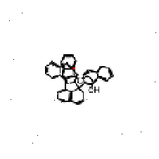 OCCOc1ccc2ccccc2c1-c1cccc2c1C(c1ccc3ccccc3c1)(c1ccc3ccccc3c1)CC=C2